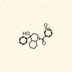 O=C(c1ccc[n+]([O-])c1)N1CCC(O)(c2ccccc2)C2CCCCC21